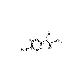 CC(=O)[C@@H](O)c1ccc(N)cc1